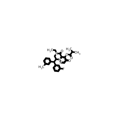 CCN1CC(C(c2cccc(C)c2)c2cccc(F)c2)n2ncc(=O)c(OC(=O)C(C)C)c2C1=O